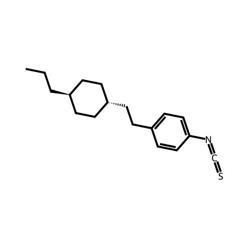 CCC[C@H]1CC[C@H](CCc2ccc(N=C=S)cc2)CC1